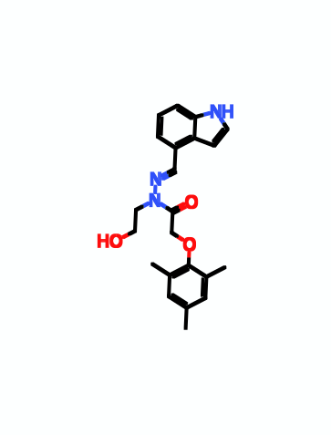 Cc1cc(C)c(OCC(=O)N(CCO)/N=C/c2cccc3[nH]ccc23)c(C)c1